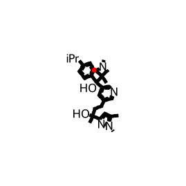 Cc1cc(C(C)(O)CCc2cncc(C(O)(c3ccc(C(C)C)cc3)C3(C)CN(C)C3)c2)nn1C